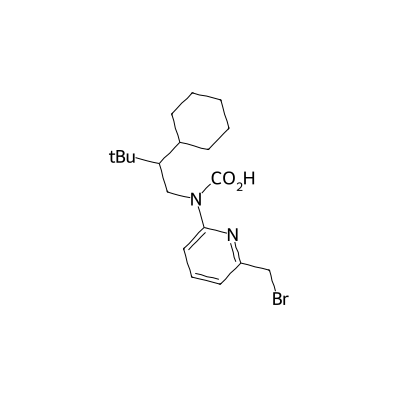 CC(C)(C)C(CN(C(=O)O)c1cccc(CBr)n1)C1CCCCC1